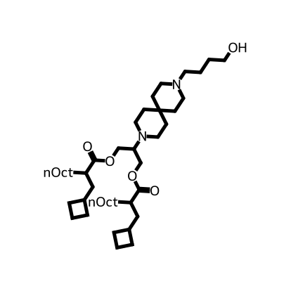 CCCCCCCCC(CC1CCC1)C(=O)OCC(COC(=O)C(CCCCCCCC)CC1CCC1)N1CCC2(CCN(CCCCO)CC2)CC1